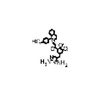 COc1cc(Cc2cnc(N)nc2N)cc(C(=O)/C=C/N2CCc3ccccc3C2c2ccc(CO)cc2)c1OC